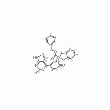 O=C(OCc1ccccc1)C1(n2cc(-c3nc(I)nc4[nH]ncc34)ccc2=O)Cc2ccccc2C1